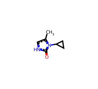 Cc1c[nH]c(=O)n1C1CC1